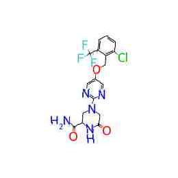 NC(=O)C1CN(c2ncc(OCc3c(Cl)cccc3C(F)(F)F)cn2)CC(=O)N1